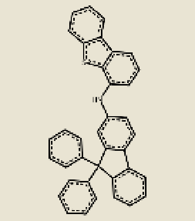 c1ccc(C2(c3ccccc3)c3ccccc3-c3ccc(Nc4cccc5c4sc4ccccc45)cc32)cc1